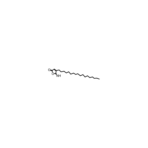 CCCCCCCCCCCCCCCCCCC1=CC(=O)OC1=N